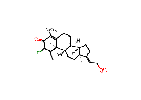 CC1C(F)C(=O)C([N+](=O)[O-])=C2CC[C@H]3[C@@H]4CCC(=CCO)[C@@]4(C)CC[C@@H]3[C@]21C